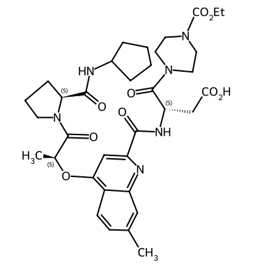 CCOC(=O)N1CCN(C(=O)[C@H](CC(=O)O)NC(=O)c2cc(O[C@@H](C)C(=O)N3CCC[C@H]3C(=O)NC3CCCC3)c3ccc(C)cc3n2)CC1